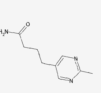 Cc1ncc(CCCC(N)=O)cn1